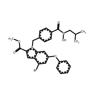 COC(=O)c1cc2c(Br)cc(Oc3ccccc3)cc2n1Cc1ccc(C(=O)N(O)CC(C)C)cc1